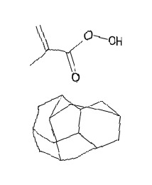 C1C2CC3C4CC5CC(C14)C(C2)C3C5.C=C(C)C(=O)OO